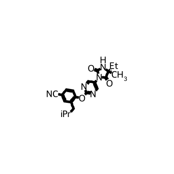 CC[C@@]1(C)NC(=O)N(c2cnc(Oc3ccc(C#N)cc3CC(C)C)nc2)C1=O